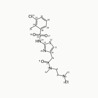 CCN(C)CCN(C)C(=O)Cc1csc(NS(=O)(=O)c2cccc(Cl)c2C)n1